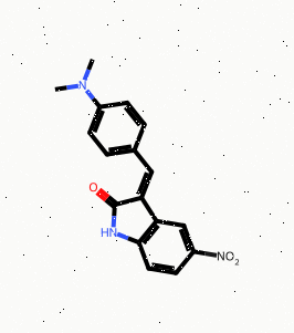 CN(C)c1ccc(C=C2C(=O)Nc3ccc([N+](=O)[O-])cc32)cc1